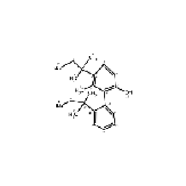 Cc1c(C(C)(C)CC(C)(C)C)ccc(O)c1-c1ccccc1C(C)(C)CC(C)(C)C